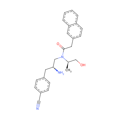 C[C@H](CO)N(C[C@@H](N)Cc1ccc(C#N)cc1)C(=O)Cc1ccc2ccccc2c1